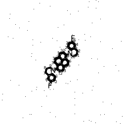 Fc1ccc2c(c1)CCCN2c1ccc2ccc3c(N4CCCc5cc(F)ccc54)ccc4ccc1c2c43